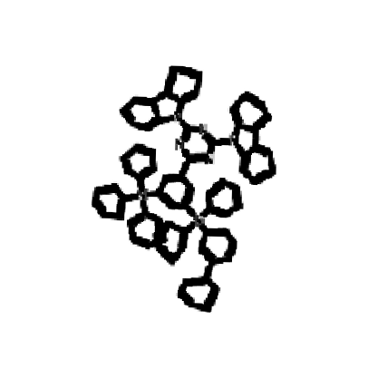 c1ccc(-c2cccc([Si](c3ccccc3)(c3ccccc3)c3cc(-c4nc(-n5c6ccccc6c6ccccc65)nc(-n5c6ccccc6c6ccccc65)n4)cc([Si](c4ccccc4)(c4ccccc4)c4ccccc4)c3)c2)cc1